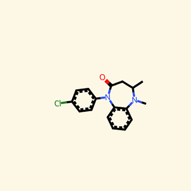 CC1CC(=O)N(c2ccc(Cl)cc2)c2ccccc2N1C